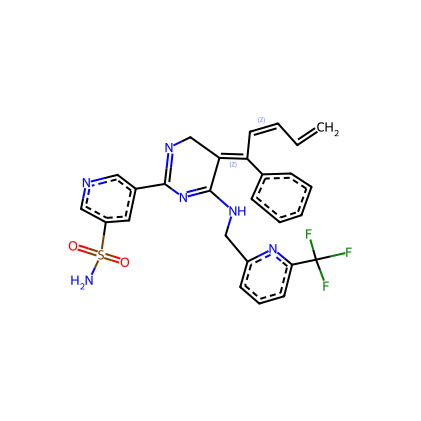 C=C/C=C\C(=C1/CN=C(c2cncc(S(N)(=O)=O)c2)N=C1NCc1cccc(C(F)(F)F)n1)c1ccccc1